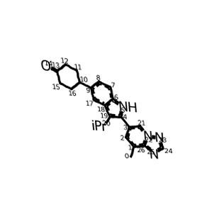 Cc1cc(-c2[nH]c3ccc(C4CCC(=O)CC4)cc3c2C(C)C)cn2ncnc12